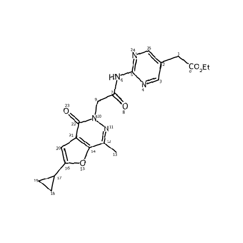 CCOC(=O)Cc1cnc(NC(=O)Cn2nc(C)c3oc(C4CC4)cc3c2=O)nc1